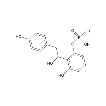 O=P(O)(O)Oc1cccc(O)c1C(O)Cc1ccc(O)cc1